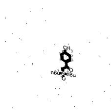 CCCC[SH](=O)(CCCC)CC(=O)c1ccc(C)cc1